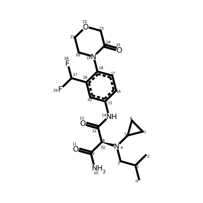 CC(C)CN(C1CC1)[C@@H](C(N)=O)C(=O)Nc1ccc(N2CCOCC2=O)c(C(F)F)c1